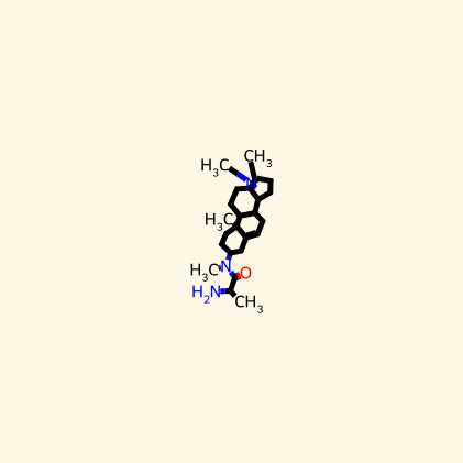 CC(N)C(=O)N(C)C1CCC2(C)C(=CCC3C2CCC24CN(C)C(C)C2CCC34)C1